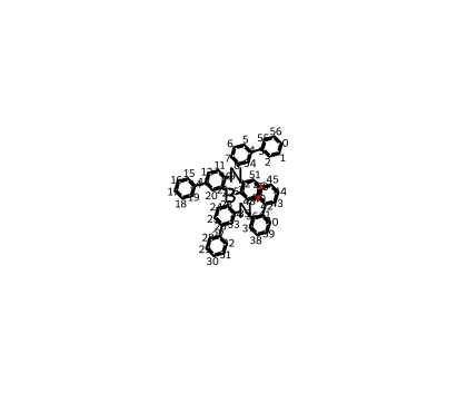 c1ccc(-c2cccc(N3c4ccc(-c5ccccc5)cc4B4c5ccc(-c6ccccc6)cc5N(c5ccccc5-c5ccccc5)c5cccc3c54)c2)cc1